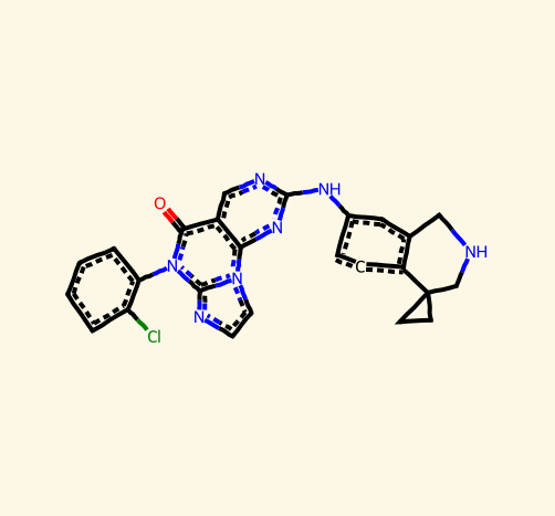 O=c1c2cnc(Nc3ccc4c(c3)CNCC43CC3)nc2n2ccnc2n1-c1ccccc1Cl